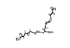 CCOCCOCCOCC(O)OCCOCCO